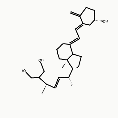 C=C1CC[C@H](O)CC1=CC=C1CCC[C@@]2(C)C1CC[C@@H]2[C@H](C)/C=C/[C@H](C)C(CO)CO